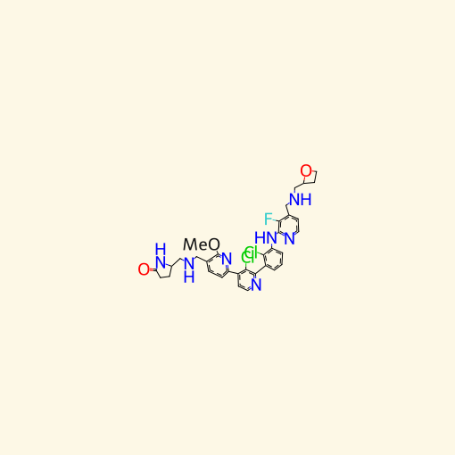 COc1nc(-c2ccnc(-c3cccc(Nc4nccc(CNCC5CCO5)c4F)c3Cl)c2Cl)ccc1CNCC1CCC(=O)N1